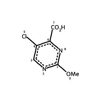 COc1ncc(Cl)c(C(=O)O)n1